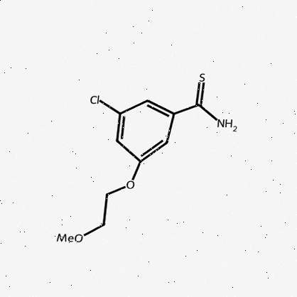 COCCOc1cc(Cl)cc(C(N)=S)c1